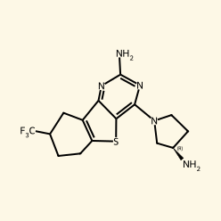 Nc1nc(N2CC[C@@H](N)C2)c2sc3c(c2n1)CC(C(F)(F)F)CC3